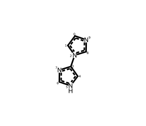 c1cn(-c2c[nH]cn2)cn1